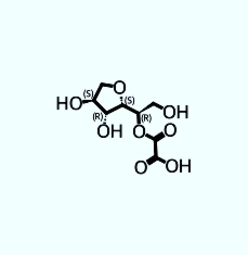 O=C(O)C(=O)O[C@H](CO)[C@H]1OC[C@H](O)[C@H]1O